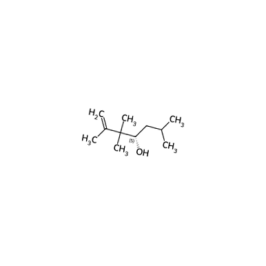 C=C(C)C(C)(C)[C@@H](O)CC(C)C